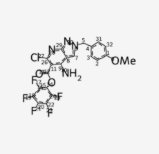 COc1ccc(Cn2cc3c(N)c(C(=O)Oc4c(F)c(F)c(F)c(F)c4F)c(Cl)nc3n2)cc1